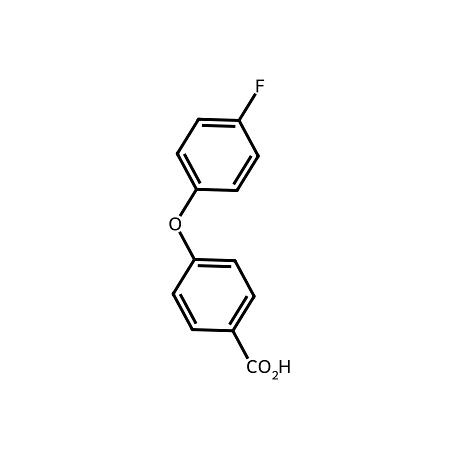 O=C(O)c1ccc(Oc2ccc(F)cc2)cc1